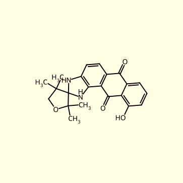 CC1(C)COC(C)(C)C12Nc1ccc3c(c1N2)C(=O)c1c(O)cccc1C3=O